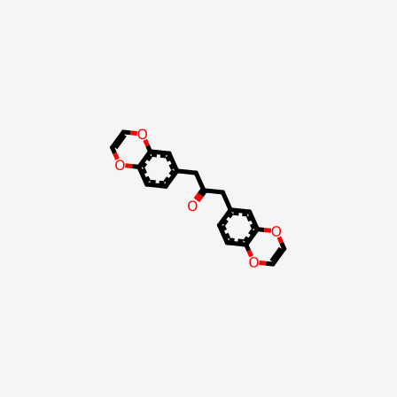 O=C(Cc1ccc2c(c1)OC=CO2)Cc1ccc2c(c1)OC=CO2